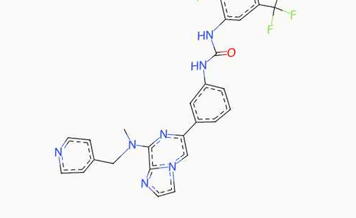 CN(Cc1ccncc1)c1nc(-c2cccc(NC(=O)Nc3cc(C(F)(F)F)ccc3F)c2)cn2ccnc12